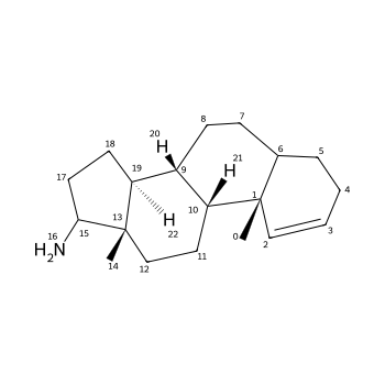 C[C@]12C=CCCC1CC[C@@H]1[C@H]2CC[C@]2(C)C(N)CC[C@@H]12